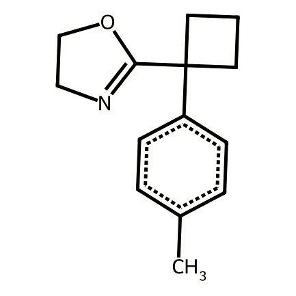 Cc1ccc(C2(C3=NCCO3)CCC2)cc1